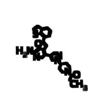 CCC(=O)N1CCC(n2cc(-c3cnc(N)c4oc(-c5cccc6ccsc56)cc34)cn2)CC1